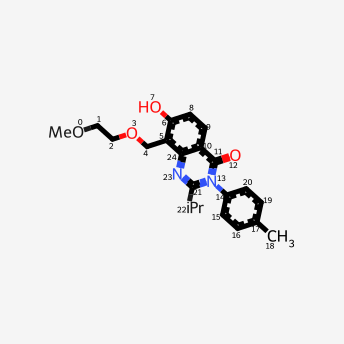 COCCOCc1c(O)ccc2c(=O)n(-c3ccc(C)cc3)c(C(C)C)nc12